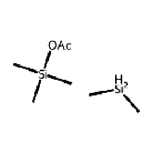 CC(=O)O[Si](C)(C)C.C[SiH2]C